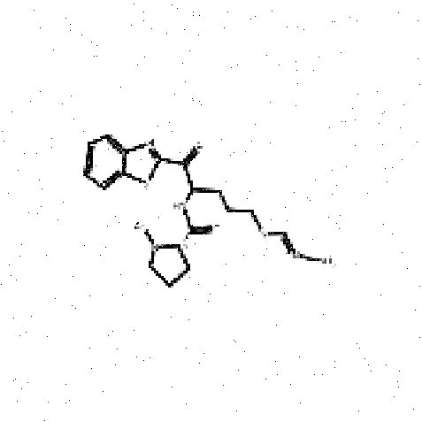 CC(=O)N1CCC[C@H]1C(=O)NC(CCCNC=NN)C(=O)c1nc2ccccc2s1